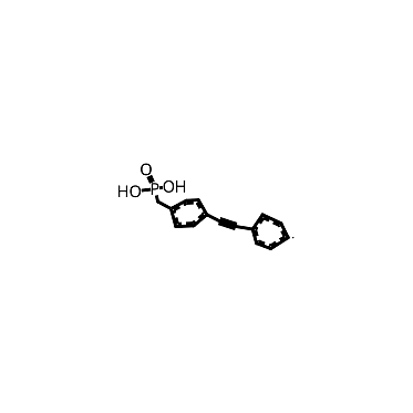 O=P(O)(O)Cc1ccc(C#Cc2cc[c]cc2)cc1